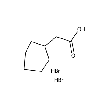 Br.Br.O=C(O)CC1CCCCC1